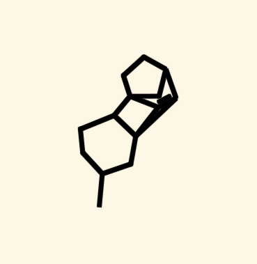 CC1CCC2C34CCC(C3)C3=C4C32C1